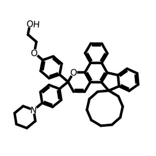 OCCOc1ccc(C2(c3ccc(N4CCCCC4)cc3)C=Cc3c4c(c5ccccc5c3O2)-c2ccccc2C42CCCCCCCCC2)cc1